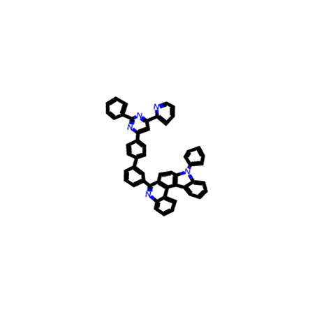 c1ccc(-c2nc(-c3ccc(-c4cccc(-c5nc6ccccc6c6c5ccc5c6c6ccccc6n5-c5ccccc5)c4)cc3)cc(-c3ccccn3)n2)cc1